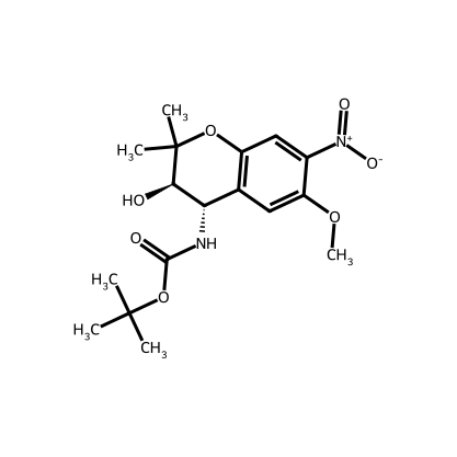 COc1cc2c(cc1[N+](=O)[O-])OC(C)(C)[C@H](O)[C@H]2NC(=O)OC(C)(C)C